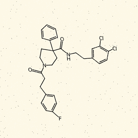 O=C(CCc1ccc(F)cc1)N1CCC(C(=O)NCCc2ccc(Cl)c(Cl)c2)(c2ccccc2)CC1